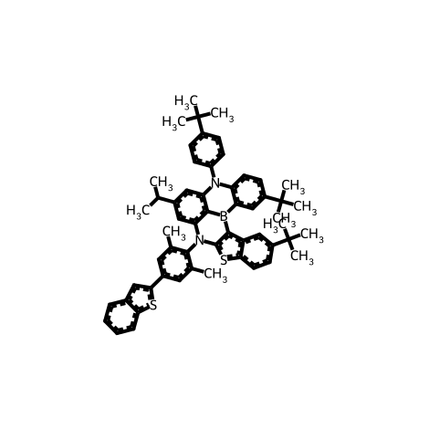 Cc1cc(-c2cc3ccccc3s2)cc(C)c1N1c2cc(C(C)C)cc3c2B(c2cc(C(C)(C)C)ccc2N3c2ccc(C(C)(C)C)cc2)c2c1sc1ccc(C(C)(C)C)cc21